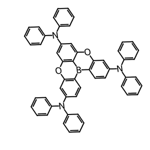 c1ccc(N(c2ccccc2)c2ccc3c(c2)Oc2cc(N(c4ccccc4)c4ccccc4)cc4c2B3c2ccc(N(c3ccccc3)c3ccccc3)cc2O4)cc1